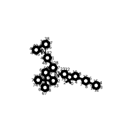 CC1(C)c2cc(-c3ccc(-c4ccccc4)cc3)ccc2-c2ccc(N(c3ccc(-c4ccc(-n5c6ccccc6c6ccccc65)cc4)cc3)c3cccc4c3-c3ccccc3C4(c3ccccc3)c3ccccc3)cc21